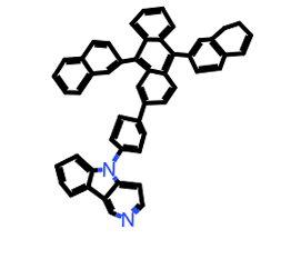 C1=Cc2ccc(-c3c4ccccc4c(-c4ccc5ccccc5c4)c4cc(-c5ccc(-n6c7ccccc7c7cnccc76)cc5)ccc34)cc2CC1